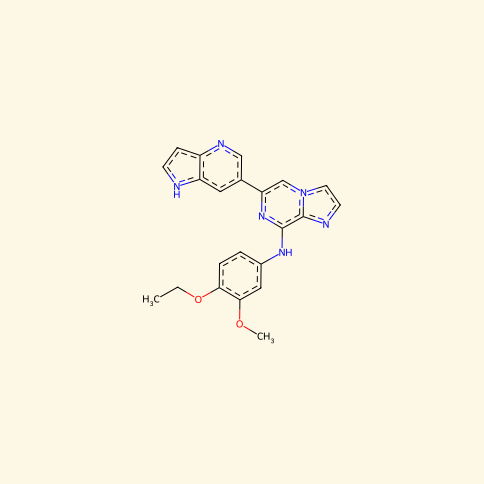 CCOc1ccc(Nc2nc(-c3cnc4cc[nH]c4c3)cn3ccnc23)cc1OC